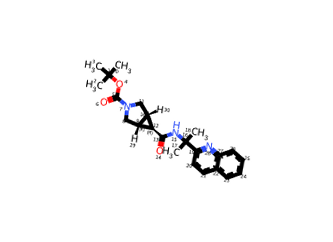 CC(C)(C)OC(=O)N1C[C@@H]2[C@H](C1)[C@H]2C(=O)NC(C)(C)c1ccc2ccccc2n1